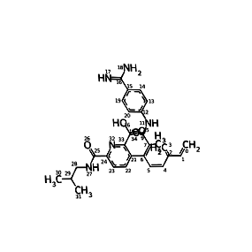 C=CC(=C)/C=C\C(=C(/C)C(=O)Nc1ccc(C(=N)N)cc1)c1ccc(C(=O)NCC(C)C)nc1C(=O)O